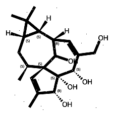 CC1=C[C@@]23C(O)[C@@H](C=C(CO)[C@H](O)[C@@]2(O)[C@@H]1O)[C@@H]1[C@H](C[C@@H]3C)C1(C)C